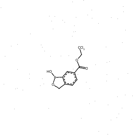 O=C(OCC(Cl)(Cl)Cl)c1ccc2c(c1)B(O)OC2